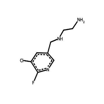 NCCNCc1cnc(F)c(Cl)c1